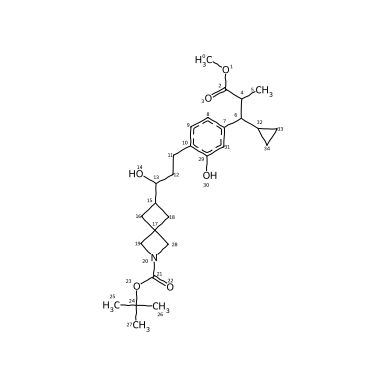 COC(=O)C(C)C(c1ccc(CCC(O)C2CC3(C2)CN(C(=O)OC(C)(C)C)C3)c(O)c1)C1CC1